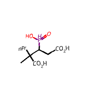 CCCC(C)(C(=O)O)C(CC(=O)O)[PH](=O)O